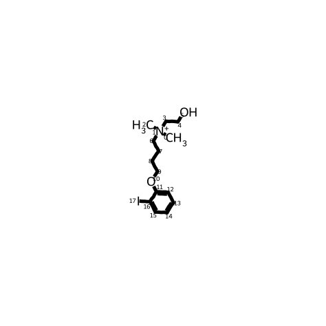 C[N+](C)(CCO)CCCCOc1ccccc1I